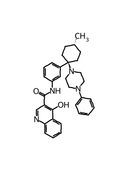 C[C@H]1CC[C@](c2cccc(NC(=O)c3cnc4ccccc4c3O)c2)(N2CCN(c3ccccc3)CC2)CC1